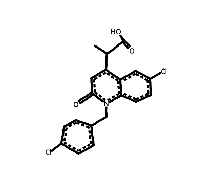 CC(C(=O)O)c1cc(=O)n(Cc2ccc(Cl)cc2)c2ccc(Cl)cc12